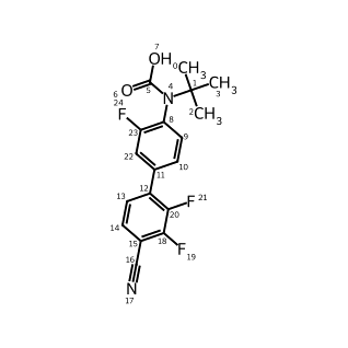 CC(C)(C)N(C(=O)O)c1ccc(-c2ccc(C#N)c(F)c2F)cc1F